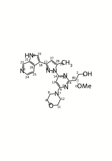 CO[C@@H](CO)c1nc(N2CCOCC2)cc(-n2nc(-c3c[nH]c4cnccc34)cc2C)n1